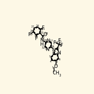 CCOc1ccc2c(c1)nc(C(F)(F)F)n2-c1cnc(NC(=O)c2c(F)ccc(F)c2F)cn1